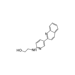 OCCNc1ccc(-c2ccc3ccccc3n2)cn1